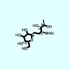 CC(=O)N[C@@H](CC[C@H]1OC(CO)[C@H](O)C(O)C1O)[C@H](O)[C@@H](C)O